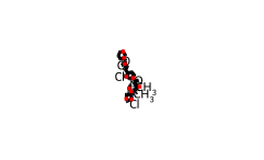 CC1[C@@H](C)N(c2cccc(Cl)c2)CCN1C(=O)c1ccc(SCC(=O)OC2CCCCC2)c(Cl)c1